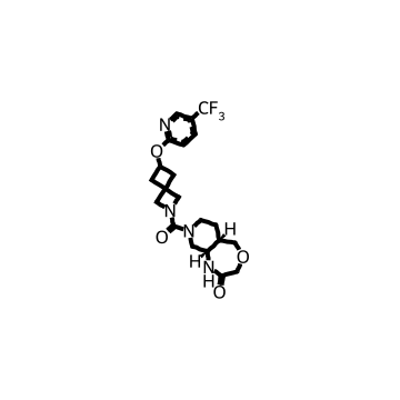 O=C1COC[C@H]2CCN(C(=O)N3CC4(CC(Oc5ccc(C(F)(F)F)cn5)C4)C3)C[C@H]2N1